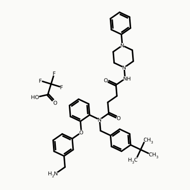 CC(C)(C)c1ccc(CN(C(=O)CCC(=O)NN2CCN(c3ccccc3)CC2)c2ccccc2Oc2cccc(CN)c2)cc1.O=C(O)C(F)(F)F